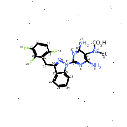 CCN(C(=O)O)c1c(N)nc(-n2nc(Cc3c(F)ccc(F)c3F)c3ccccc32)nc1N